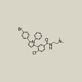 CN(C)CCNC(=O)c1ccc(Cl)c(-c2ccc(-c3ccc(Br)cc3)n2-c2ccccc2)c1